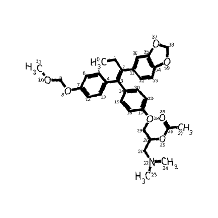 CC/C(=C(\c1ccc(OCOC)cc1)c1ccc(OCC(CN(C)C)OC(C)=O)cc1)c1ccc2c(c1)OCO2